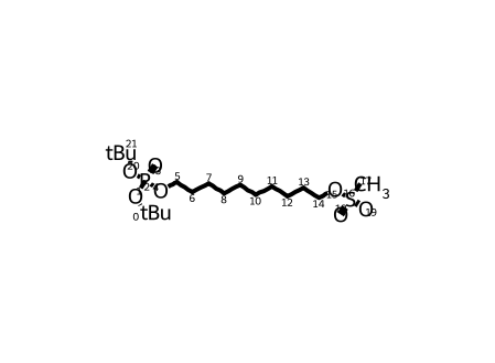 CC(C)(C)OP(=O)(OCCCCCCCCCCOS(C)(=O)=O)OC(C)(C)C